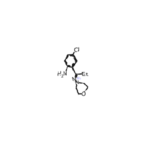 CC/C(=N\N1CCOCC1)c1cc(Cl)ccc1N